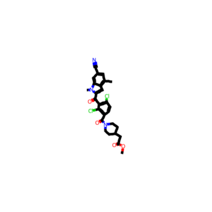 COC(=O)CC1CCN(C(=O)c2ccc(Cl)c(C(=O)c3cc4c(C)cc(C#N)cc4n3C)c2Cl)CC1